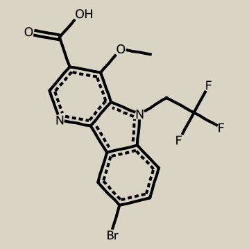 COc1c(C(=O)O)cnc2c3cc(Br)ccc3n(CC(F)(F)F)c12